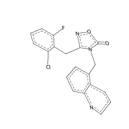 O=c1onc(Cc2c(F)cccc2Cl)n1Cc1cccc2ncccc12